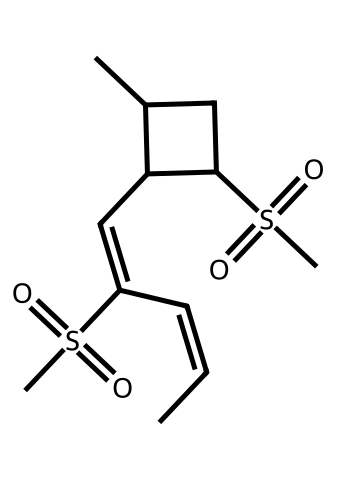 C/C=C\C(=C/C1C(C)CC1S(C)(=O)=O)S(C)(=O)=O